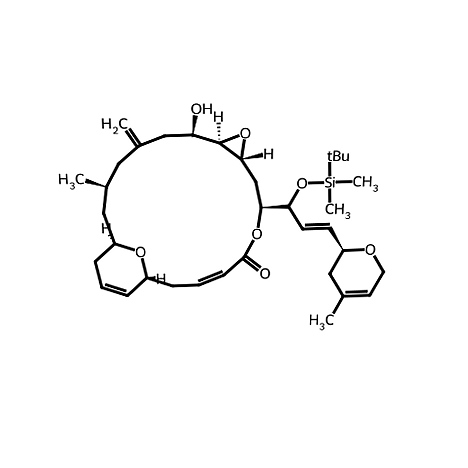 C=C1C[C@H](C)C[C@@H]2CC=C[C@@H](C/C=C\C(=O)O[C@H](C(/C=C/[C@@H]3CC(C)=CCO3)O[Si](C)(C)C(C)(C)C)C[C@H]3O[C@@H]3[C@H](O)C1)O2